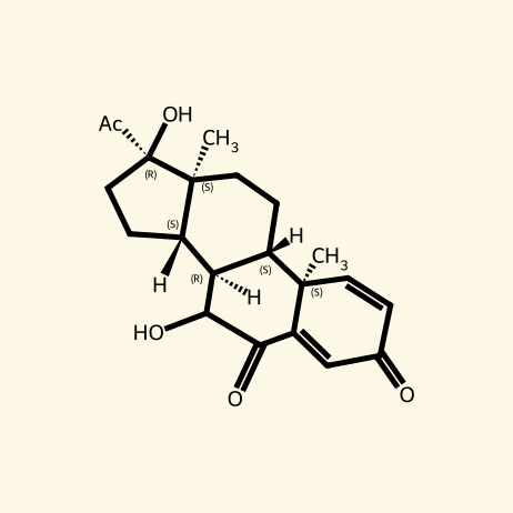 CC(=O)[C@@]1(O)CC[C@H]2[C@@H]3C(O)C(=O)C4=CC(=O)C=C[C@]4(C)[C@H]3CC[C@@]21C